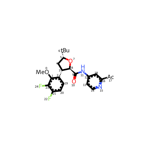 COc1c([C@@H]2C[C@H](C(C)(C)C)O[C@H]2C(=O)Nc2ccnc(C(C)=O)c2)ccc(F)c1F